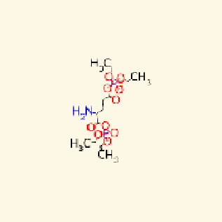 CCOP(=O)(OCC)OC(=O)CC[C@H](N)C(=O)OP(=O)(OCC)OCC